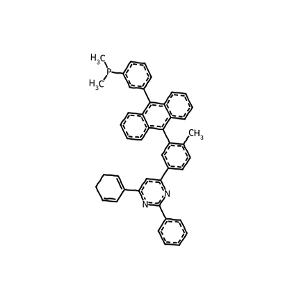 Cc1ccc(-c2cc(C3=CCCC=C3)nc(-c3ccccc3)n2)cc1-c1c2ccccc2c(-c2cccc(P(C)C)c2)c2ccccc12